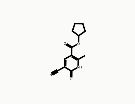 Cc1[nH]c(=O)c(C#N)cc1C(=O)OC1CCCC1